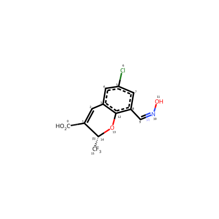 O=C(O)C1=Cc2cc(Cl)cc(/C=N\O)c2O[C@@H]1C(F)(F)F